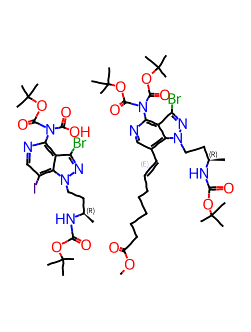 COC(=O)CCCCC/C=C/c1cnc(N(C(=O)OC(C)(C)C)C(=O)OC(C)(C)C)c2c(Br)nn(CC[C@@H](C)NC(=O)OC(C)(C)C)c12.C[C@H](CCn1nc(Br)c2c(N(C(=O)O)C(=O)OC(C)(C)C)ncc(I)c21)NC(=O)OC(C)(C)C